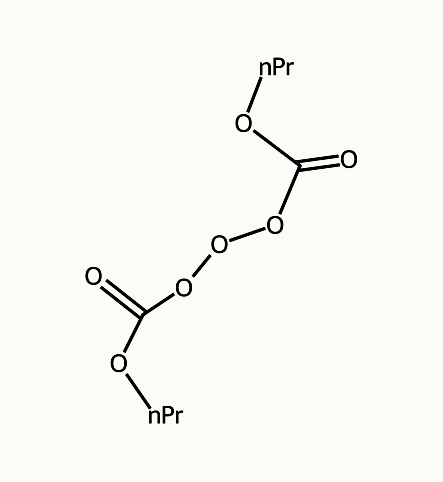 CCCOC(=O)OOOC(=O)OCCC